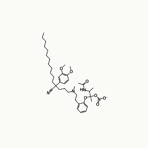 CCCCCCCCCCCCC(C#N)(CCCN(C)CCc1ccccc1OC(C)(O[N+](=O)[O-])C(C)NC(C)=O)c1ccc(OC)c(OC)c1